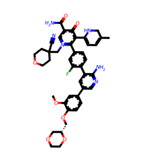 COc1cc(-c2cnc(N)c(-c3ccc(-c4c(C5=CC=C(C)CN5)c(=O)c(C(N)=O)cn4CC4(C#N)CCOCC4)cc3F)c2)ccc1OC[C@H]1COCCO1